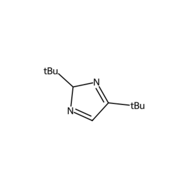 CC(C)(C)C1=NC(C(C)(C)C)N=C1